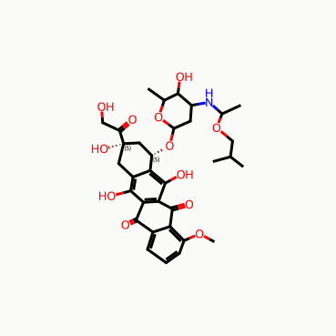 COc1cccc2c1C(=O)c1c(O)c3c(c(O)c1C2=O)C[C@@](O)(C(=O)CO)C[C@@H]3OC1CC(NC(C)OCC(C)C)C(O)C(C)O1